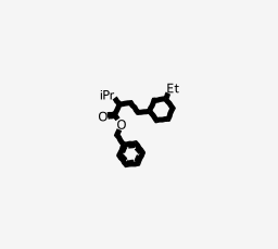 CCC1CCCC(CCC(C(=O)OCc2ccccc2)C(C)C)C1